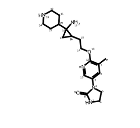 Cc1cc(N2CCNC2=O)cnc1OCCC1CC1(N)C1CCNCC1